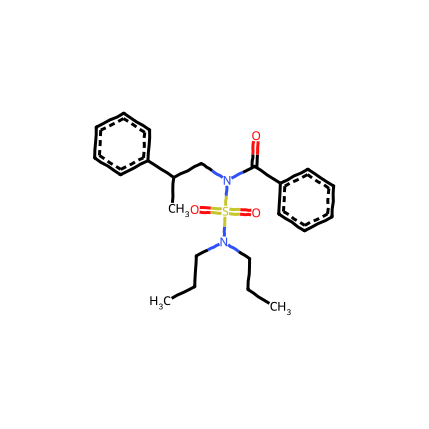 CCCN(CCC)S(=O)(=O)N(CC(C)c1ccccc1)C(=O)c1ccccc1